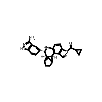 Nc1n[nH]c2ccc([C@@H]3Nc4ccc5c(cnn5C(=O)C5CC5)c4[C@H]4C5CCC(C5)[C@@H]34)cc12